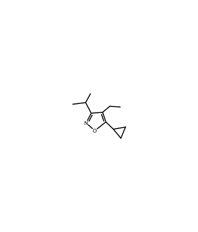 CCc1c(C(C)C)noc1C1CC1